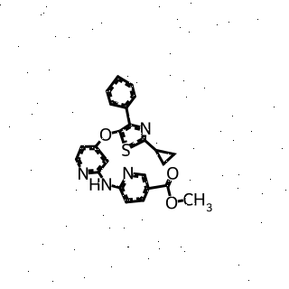 COC(=O)c1ccc(Nc2cc(Oc3sc(C4CC4)nc3-c3ccccc3)ccn2)nc1